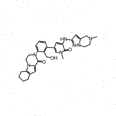 CN1CCn2nc(Nc3cc(-c4cccc(N5CCn6c(cc7c6CCCC7)C5=O)c4CO)cn(C)c3=O)cc2C1